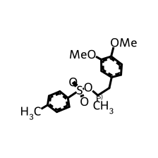 COc1ccc(C[C@H](C)OS(=O)(=O)c2ccc(C)cc2)cc1OC